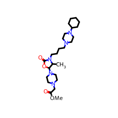 COC(=O)CN1CCN(C2OC(=O)N(CCCCN3CCN(C4CCCCC4)CC3)C2C)CC1